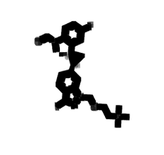 C[C@]1(c2cc(F)ccc2NC=O)C[C@H]1c1ccc2c(I)nn(COCC[Si](C)(C)C)c2c1